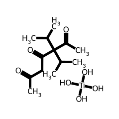 CC(=O)CC(=O)C(C(C)=O)(C(C)C)C(C)C.[OH][Ti]([OH])([OH])[OH]